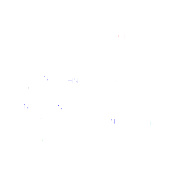 CC(C)(O)c1cc(F)ncc1Nc1ncnc(Cl)n1